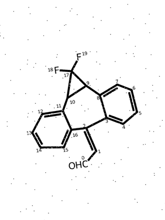 O=CC=C1c2ccccc2C2C(c3ccccc31)C2(F)F